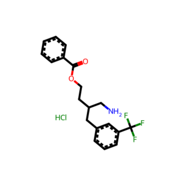 Cl.NCC(CCOC(=O)c1ccccc1)Cc1cccc(C(F)(F)F)c1